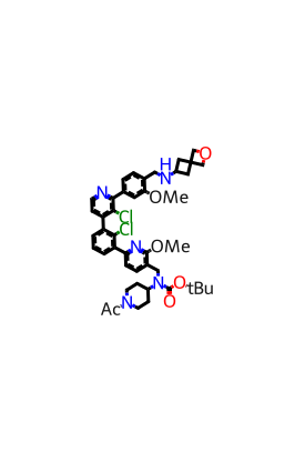 COc1cc(-c2nccc(-c3cccc(-c4ccc(CN(C(=O)OC(C)(C)C)C5CCN(C(C)=O)CC5)c(OC)n4)c3Cl)c2Cl)ccc1CNC1CC2(COC2)C1